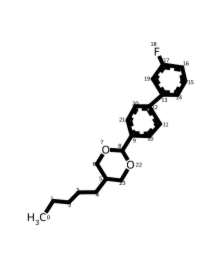 CCCCCC1COC(c2ccc(-c3cccc(F)c3)cc2)OC1